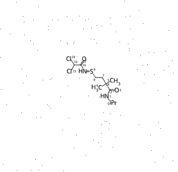 CC(C)NC(=O)C(C)(C)CCSNC(=O)C(Cl)Cl